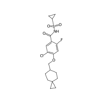 O=C(NS(=O)(=O)C1CC1)c1cc(Cl)c(OCC2CCC3(CC2)CC3)cc1F